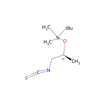 C[C@@H](CN=C=S)O[Si](C)(C)C(C)(C)C